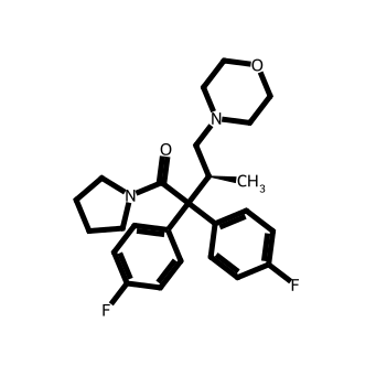 C[C@H](CN1CCOCC1)C(C(=O)N1CCCC1)(c1ccc(F)cc1)c1ccc(F)cc1